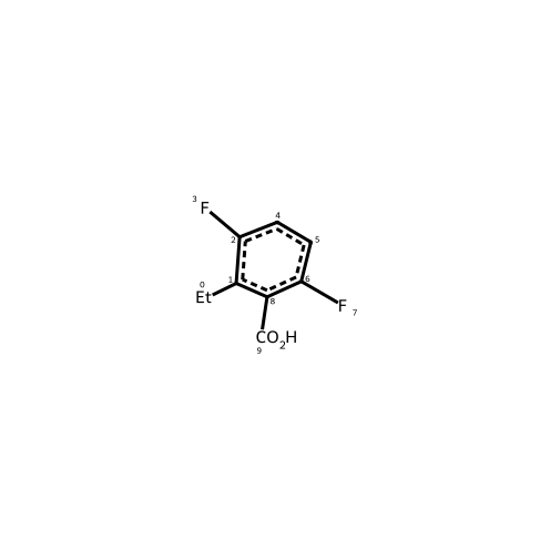 CCc1c(F)ccc(F)c1C(=O)O